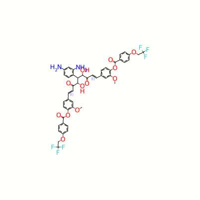 COc1cc(/C=C/C(=O)C(O)C(c2ccc(N)cc2N)C(O)C(=O)/C=C/c2ccc(OC(=O)c3ccc(OCC(F)(F)F)cc3)c(OC)c2)ccc1OC(=O)c1ccc(OCC(F)(F)F)cc1